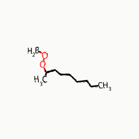 BOOC(C)CCCCCCC